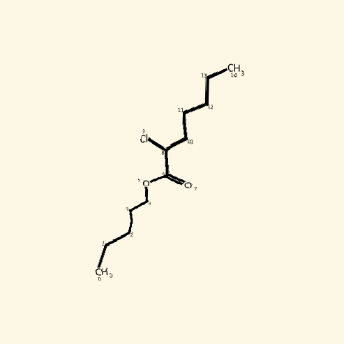 CCCCCOC(=O)C(Cl)CCCCC